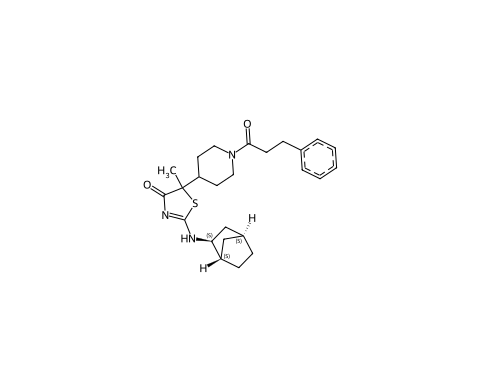 CC1(C2CCN(C(=O)CCc3ccccc3)CC2)SC(N[C@H]2C[C@H]3CC[C@H]2C3)=NC1=O